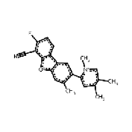 Cc1cc(-c2cc3c(cc2C)oc2c(C#N)c(F)ccc23)[n+](C)cc1C